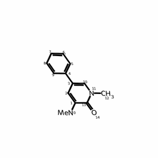 CNc1cc(-c2c[c]ccc2)cn(C)c1=O